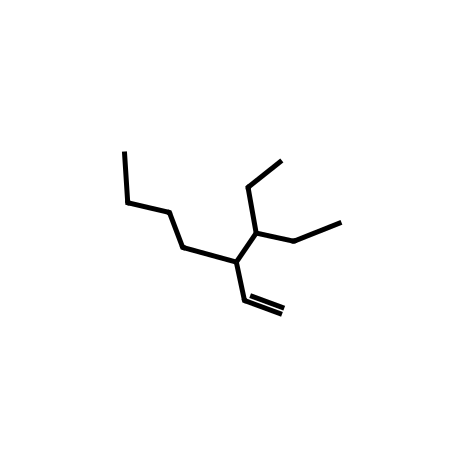 C=CC(CCCC)C(CC)CC